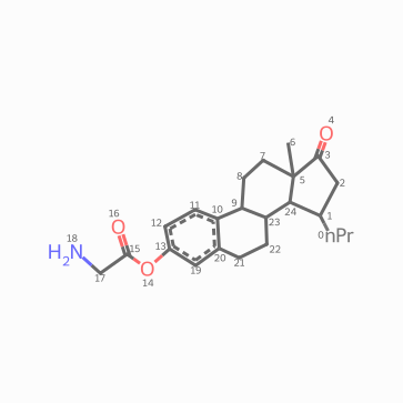 CCCC1CC(=O)C2(C)CCC3c4ccc(OC(=O)CN)cc4CCC3C12